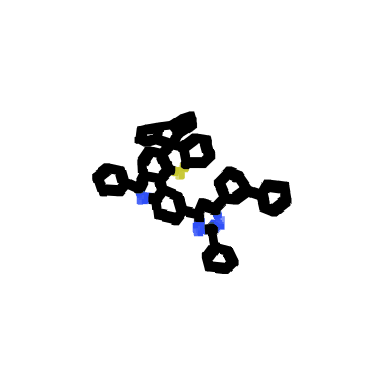 c1ccc(-c2cccc(-c3cc(-c4ccc5nc(-c6ccccc6)c6ccc7c(c6c5c4)Sc4ccccc4C74c5ccccc5-c5ccccc54)nc(-c4ccccc4)n3)c2)cc1